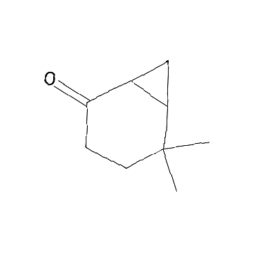 CC1(C)CCC(=O)C2CC21